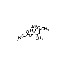 CC(COC(=O)CSN)CC(C)(C)OC(C)(C)C